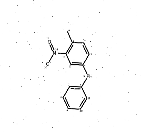 Cc1ccc(Pc2ccccc2)cc1[N+](=O)[O-]